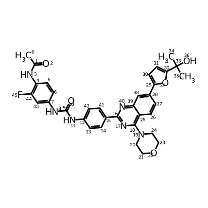 CC(=O)Nc1ccc(NC(=O)Nc2ccc(-c3nc(N4CCOCC4)c4ccc(-c5ccc(C(C)(C)O)o5)cc4n3)cc2)cc1F